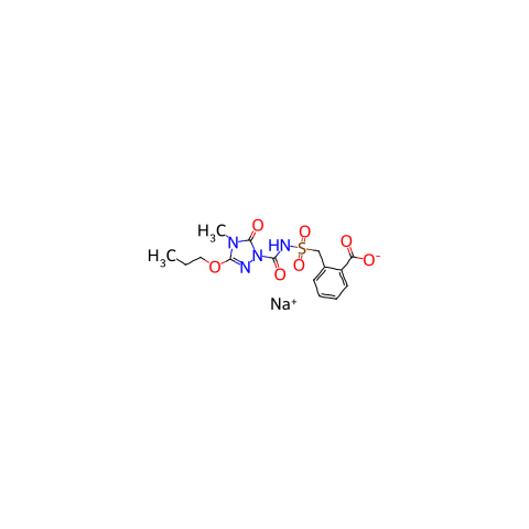 CCCOc1nn(C(=O)NS(=O)(=O)Cc2ccccc2C(=O)[O-])c(=O)n1C.[Na+]